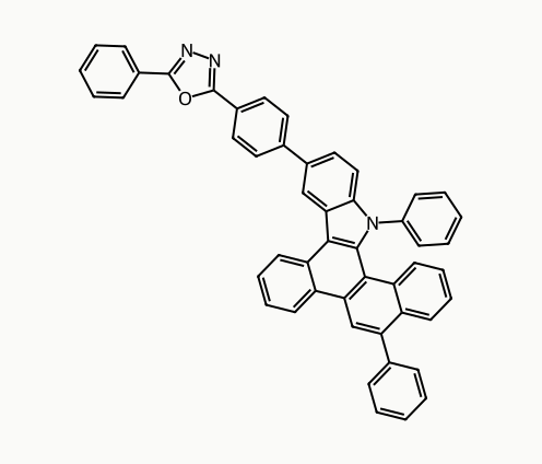 c1ccc(-c2nnc(-c3ccc(-c4ccc5c(c4)c4c6ccccc6c6cc(-c7ccccc7)c7ccccc7c6c4n5-c4ccccc4)cc3)o2)cc1